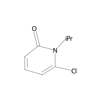 CC(C)n1c(Cl)cccc1=O